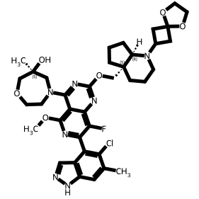 COc1nc(-c2c(Cl)c(C)cc3[nH]ncc23)c(F)c2nc(OC[C@]34CCC[C@H]3N(C3CC5(C3)OCCO5)CCC4)nc(N3CCOC[C@@](C)(O)C3)c12